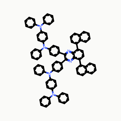 c1ccc(N(c2ccccc2)c2ccc(N(c3ccccc3)c3ccc(-c4nc5c(-c6cccc7ccccc67)ccc(-c6cccc7ccccc67)c5nc4-c4ccc(N(c5ccccc5)c5ccc(N(c6ccccc6)c6ccccc6)cc5)cc4)cc3)cc2)cc1